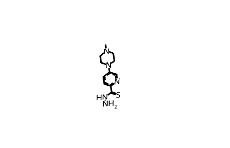 CN1CCN(c2ccc(C(=S)NN)nc2)CC1